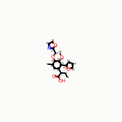 CCC(C(=O)O)c1cc(C)c(OCc2ncco2)c(OC)c1-c1ccco1